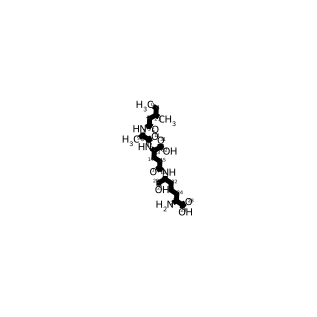 CCC(C)CC(=O)NC(C)C(=O)NC(CCC(=O)NC(CO)CCCC(N)C(=O)O)C(=O)O